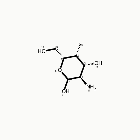 C[C@@H]1[C@H](O)[C@@H](N)C(O)O[C@@H]1CO